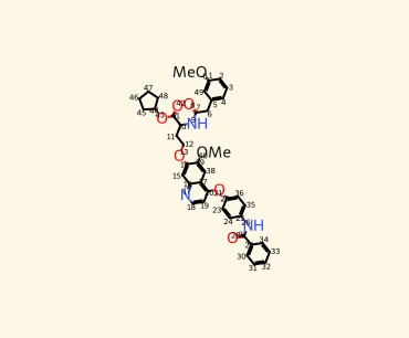 COc1cccc(CC(=O)NC(CCOc2cc3nccc(Oc4ccc(NC(=O)c5ccccc5)cc4)c3cc2OC)C(=O)OC2CCCC2)c1